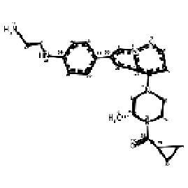 C[C@@H]1CN(c2ccnn3cc(-c4ccc(NCCN)cc4)cc23)CCN1C(=O)C1CC1